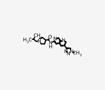 CC(C)CN1CCC(C(=O)Nc2cc3cc(-c4cn(C)nn4)cnc3cn2)CC1